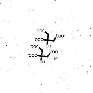 O=C([O-])CC(O)(CC(=O)[O-])C(=O)[O-].O=C([O-])CC(O)(CC(=O)[O-])C(=O)[O-].[Fe+3]